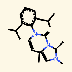 C=C(N(/C=C\CC)c1c(C(C)C)cccc1C(C)C)N1C=CN(C)[C@@H]1C